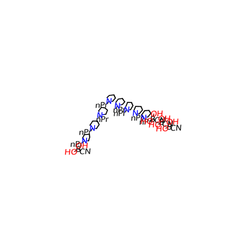 CCCN1CCCCC1.CCCN1CCCCC1.CCCN1CCCCC1.CCCN1CCCCC1.CCCN1CCCCC1.CCCN1CCCCC1.CCCN1CCCCC1.CCCN1CCCCC1.N#CB(O)O.N#CB(O)O.N#CB(O)O.N#CB(O)O